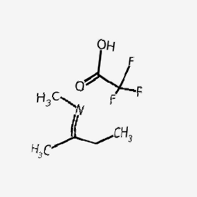 CCC(C)=NC.O=C(O)C(F)(F)F